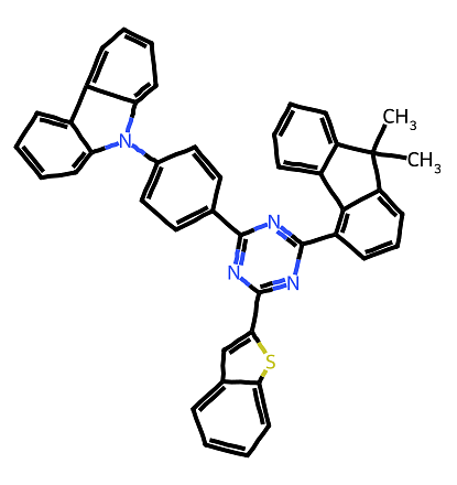 CC1(C)c2ccccc2-c2c(-c3nc(-c4ccc(-n5c6ccccc6c6ccccc65)cc4)nc(-c4cc5ccccc5s4)n3)cccc21